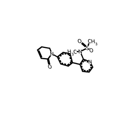 CN(c1ncccc1-c1ccc(N2CCC=CC2=O)cc1)S(C)(=O)=O